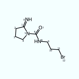 N=C1CCCN1C(=O)NCCCBr